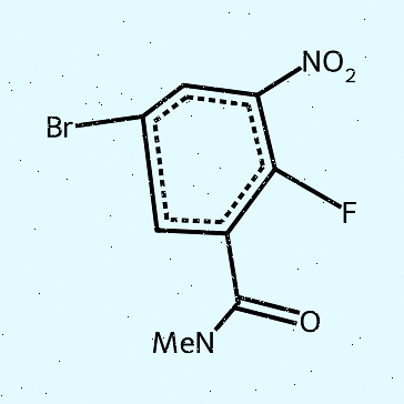 CNC(=O)c1cc(Br)cc([N+](=O)[O-])c1F